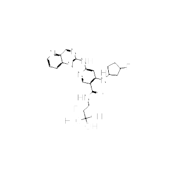 CC(C)(O)[C@H](F)CNC(=O)c1cnc(Nc2ncc3ncccc3n2)cc1NC1CCC(F)C1